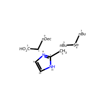 CCCCCCCCCCCC(=O)O.CCC[CH2][Sn][CH2]CCC.Cc1ncc[nH]1